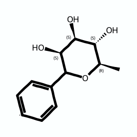 C[C@H]1OC(c2cc[c]cc2)[C@@H](O)[C@@H](O)[C@@H]1O